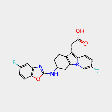 O=C(O)Cc1c2c(n3cc(F)ccc13)CC(Nc1nc3cc(F)ccc3o1)CC2